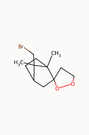 CC1(CBr)C2CCC1(C)C1(CCOO1)C2